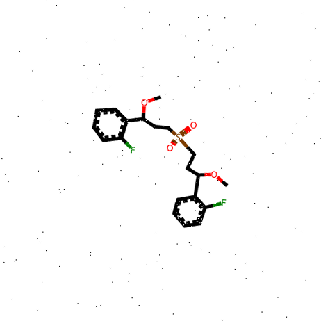 COC(CCS(=O)(=O)CCC(OC)c1ccccc1F)c1ccccc1F